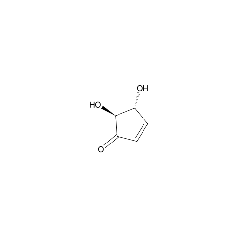 O=C1C=C[C@@H](O)[C@@H]1O